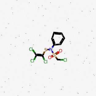 O=S(=O)(CCl)N(SC(Cl)=C(Cl)Cl)c1ccccc1